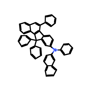 c1ccc(-c2cc3ccccc3c3c2-c2ccc(N(c4ccccc4)c4ccc5ccccc5c4)cc2C3(c2ccccc2)c2ccccc2)cc1